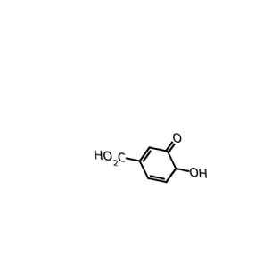 O=C(O)C1=CC(=O)C(O)C=C1